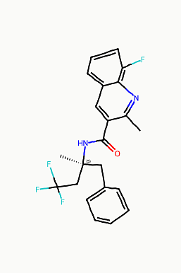 Cc1nc2c(F)cccc2cc1C(=O)N[C@@](C)(Cc1ccccc1)CC(F)(F)F